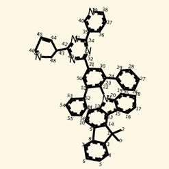 CC1(C)c2ccccc2-c2ccc3c(c21)c1ccccc1n3-c1c(-c2ccccc2)cc(-c2nc(-c3cccnc3)nc(C3C=CC=NC3)n2)cc1-c1ccccc1